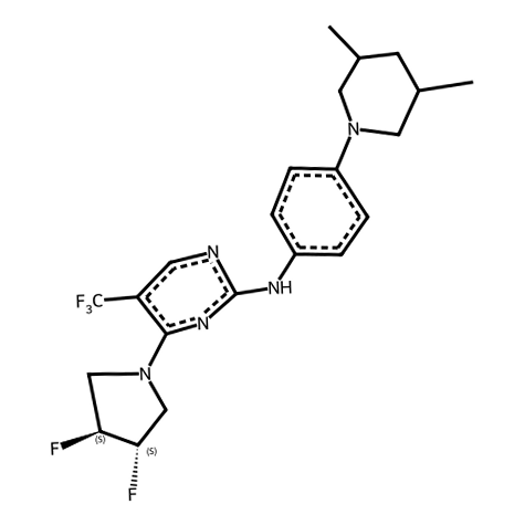 CC1CC(C)CN(c2ccc(Nc3ncc(C(F)(F)F)c(N4C[C@H](F)[C@@H](F)C4)n3)cc2)C1